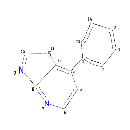 c1ccc(-c2ccnc3ncsc23)cc1